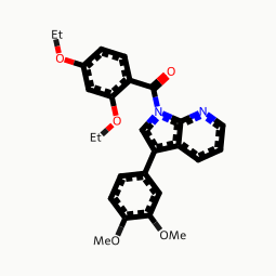 CCOc1ccc(C(=O)n2cc(-c3ccc(OC)c(OC)c3)c3cccnc32)c(OCC)c1